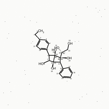 CCc1ccc(C2C(O)[C@@]3(O)C(c4ccccc4)[C@@](O)([C@H](O)CO)[C@@]23O)cc1